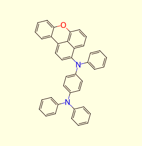 c1ccc(N(c2ccccc2)c2ccc(N(c3ccccc3)c3ccc4c5c(cccc35)Oc3ccccc3-4)cc2)cc1